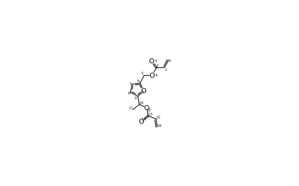 C=CC(=O)OCc1ccc(C(C)OC(=O)C=C)o1